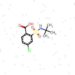 CC(C)(C)NS(=O)(=O)c1cc(Cl)ccc1C(=O)O